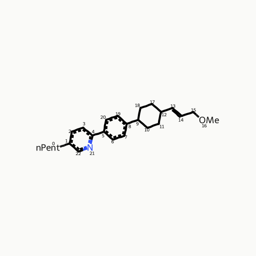 CCCCCc1ccc(-c2ccc(C3CCC(C=CCOC)CC3)cc2)nc1